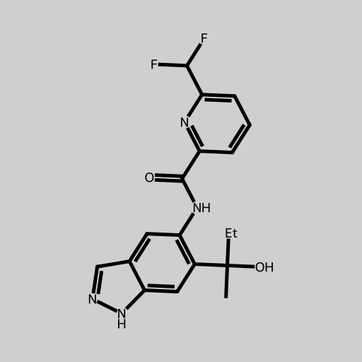 CCC(C)(O)c1cc2[nH]ncc2cc1NC(=O)c1cccc(C(F)F)n1